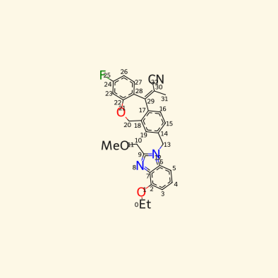 CCOc1cccc2c1nc(COC)n2Cc1ccc2c(c1)COc1cc(F)ccc1/C2=C(/C)C#N